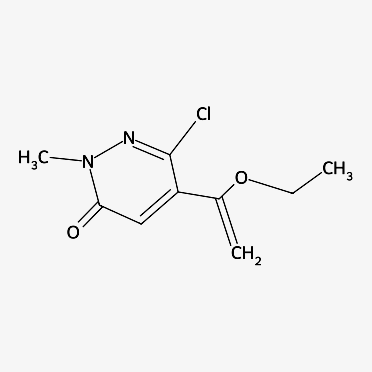 C=C(OCC)c1cc(=O)n(C)nc1Cl